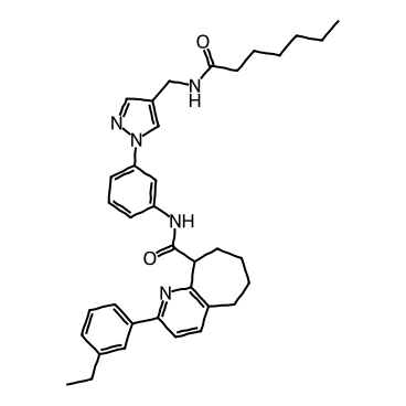 CCCCCCC(=O)NCc1cnn(-c2cccc(NC(=O)C3CCCCc4ccc(-c5cccc(CC)c5)nc43)c2)c1